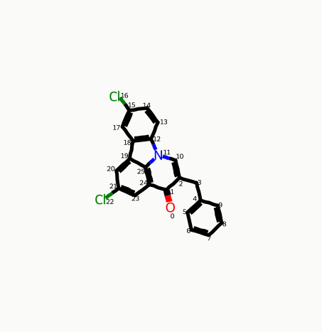 O=c1c(Cc2ccccc2)cn2c3ccc(Cl)cc3c3cc(Cl)cc1c32